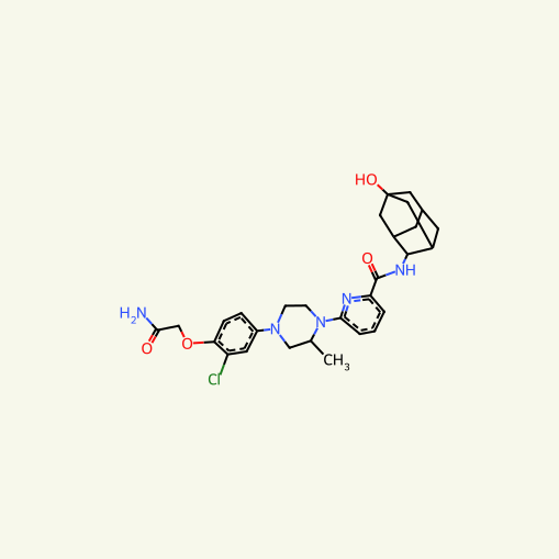 CC1CN(c2ccc(OCC(N)=O)c(Cl)c2)CCN1c1cccc(C(=O)NC2C3CC4CC2CC(O)(C4)C3)n1